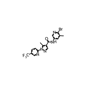 Cc1cc(NC(=O)c2cnn(-c3ccc(C(F)(F)F)cn3)c2C)cnc1Br